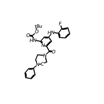 CC(C)(C)OC(=O)Nc1cc(Nc2ccccc2F)cc(C(=O)N2CCN(c3ccccc3)CC2)n1